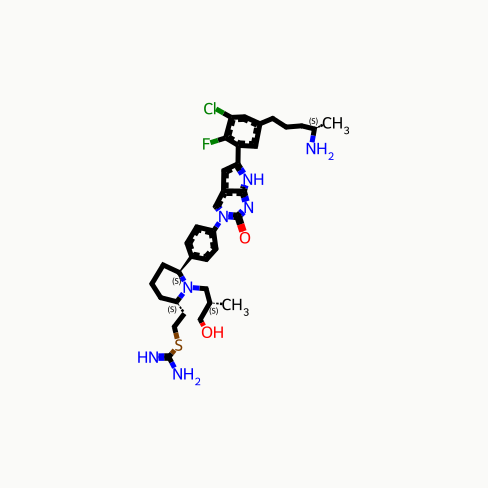 C[C@H](CO)CN1[C@H](CCSC(=N)N)CCC[C@H]1c1ccc(-n2cc3cc(-c4cc(CCC[C@H](C)N)cc(Cl)c4F)[nH]c3nc2=O)cc1